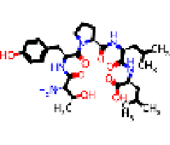 CC(C)C[C@H](NC(=O)[C@H](CC(C)C)NC(=O)[C@@H]1CCCN1C(=O)[C@H](Cc1ccc(O)cc1)NC(=O)[C@@H](N)[C@@H](C)O)C(=O)O